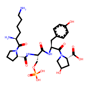 NCCCC[C@H](N)C(=O)N1CCC[C@H]1C(=O)N[C@@H](COP(=O)(O)O)C(=O)N[C@@H](Cc1ccc(O)cc1)C(=O)N1C[C@H](O)C[C@H]1C(=O)O